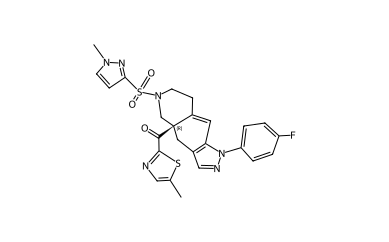 Cc1cnc(C(=O)[C@]23Cc4cnn(-c5ccc(F)cc5)c4C=C2CCN(S(=O)(=O)c2ccn(C)n2)C3)s1